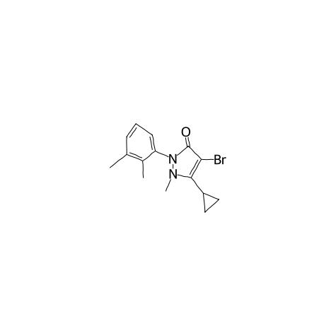 Cc1cccc(-n2c(=O)c(Br)c(C3CC3)n2C)c1C